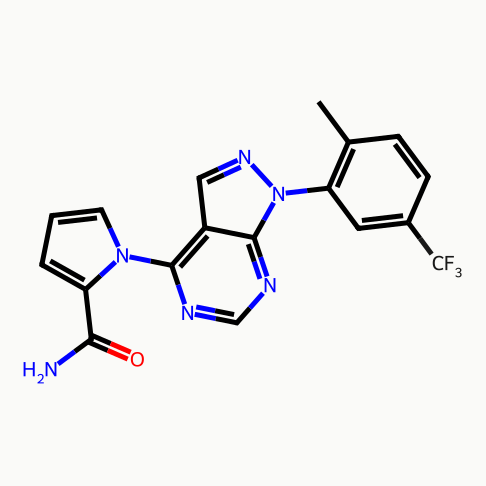 Cc1ccc(C(F)(F)F)cc1-n1ncc2c(-n3cccc3C(N)=O)ncnc21